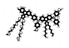 CCCCCCCCC1(CCCCCCCC)c2cc(N(c3ccc(C)cc3)c3ccc(OC)cc3)ccc2-c2ccc(N(c3ccc(OC)cc3)c3ccc(-c4ccc5c(c4)C(CCOCCOCCOCCOC)(CCOCCOCCOCCOC)c4cc(C)ccc4-5)cc3)cc21